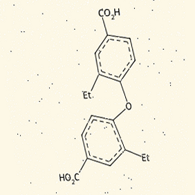 CCc1cc(C(=O)O)ccc1Oc1ccc(C(=O)O)cc1CC